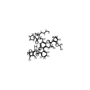 CCCCC1=NC2(CCCC2)C(=O)N1Cc1ccc(-c2ccccc2S(=O)(=O)Nc2onc(C)c2C)c(CN(C)C(=O)c2sccc2OCC)c1